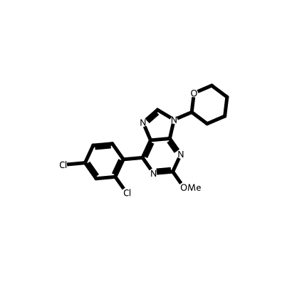 COc1nc(-c2ccc(Cl)cc2Cl)c2ncn(C3CCCCO3)c2n1